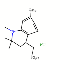 COc1ccc2c(c1)N(C)C(C)(C)CC2CS(=O)(=O)O.Cl